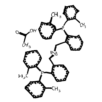 CC(=O)O.Cc1ccccc1P(c1ccccc1C)c1ccccc1[CH2][Pd][CH2]c1ccccc1P(c1ccccc1C)c1ccccc1C